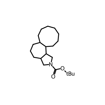 CC(C)(C)OC(=O)N1CC2CCCC3CCCCCCCC3C2C1